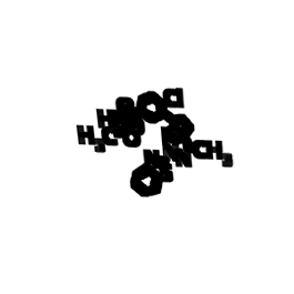 CC(=O)NS(=O)(=O)c1ccc(Cl)c(-c2ccc(C(C)=NNc3nc4ccccc4s3)o2)c1